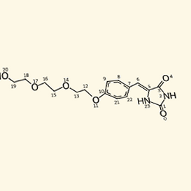 O=C1NC(=O)C(=Cc2ccc(OCCOCCOCCO)cc2)N1